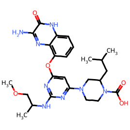 COCC(C)Nc1nc(Oc2cccc3[nH]c(=O)c(N)nc23)cc(N2CCN(C(=O)O)C(CC(C)C)C2)n1